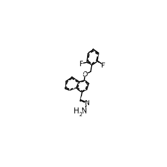 NN=Cc1ccc(OCc2c(F)cccc2F)c2ccccc12